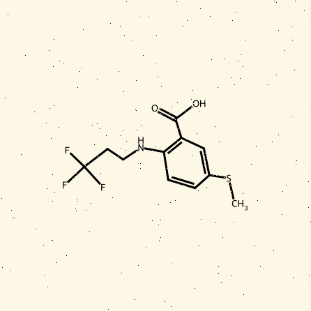 CSc1ccc(NCCC(F)(F)F)c(C(=O)O)c1